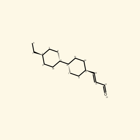 CC[C@H]1CC[C@H]([C@H]2CC[C@H](C=CC=O)CC2)CC1